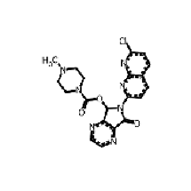 CN1CCN(C(=O)OC2c3nccnc3C(=O)N2c2ccc3ccc(Cl)nc3n2)CC1